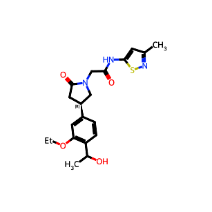 CCOc1cc([C@H]2CC(=O)N(CC(=O)Nc3cc(C)ns3)C2)ccc1C(C)O